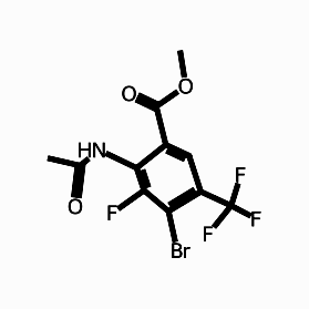 COC(=O)c1cc(C(F)(F)F)c(Br)c(F)c1NC(C)=O